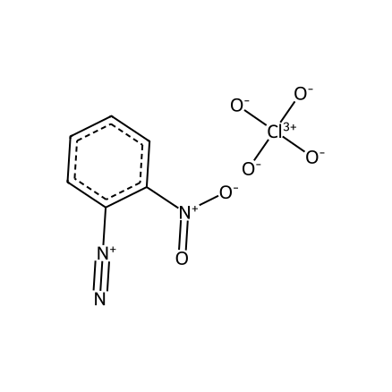 N#[N+]c1ccccc1[N+](=O)[O-].[O-][Cl+3]([O-])([O-])[O-]